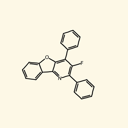 Fc1c(-c2ccccc2)nc2c(oc3ccccc32)c1-c1ccccc1